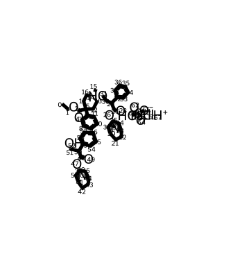 CCOC(=O)C1(c2ccccc2)CCN(C)CC1.CN1C2CCC1CC(OC(=O)C(CO)c1ccccc1)C2.CN1C2CCC1CC(OC(=O)C(CO)c1ccccc1)C2.Cl.Cl.O=S(=O)([O-])O.[H+]